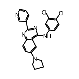 Clc1ccc(Nc2nc(-c3cccnc3)nc3ccc(N4CCCC4)cc23)cc1Cl